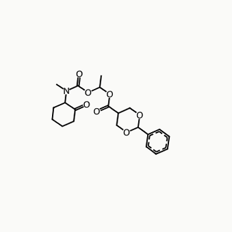 CC(OC(=O)C1COC(c2ccccc2)OC1)OC(=O)N(C)C1CCCCC1=O